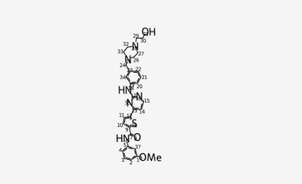 COc1cccc(NC(=O)c2ccc(-c3ccnc(Nc4cccc(CN5CCN(CCO)CC5)c4)n3)s2)c1